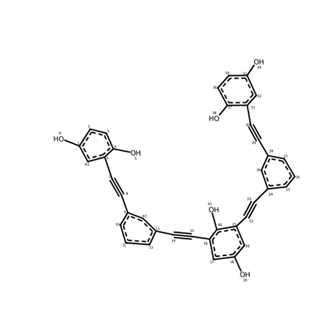 Oc1ccc(O)c(C#Cc2cccc(C#Cc3cc(O)cc(C#Cc4cccc(C#Cc5cc(O)ccc5O)c4)c3O)c2)c1